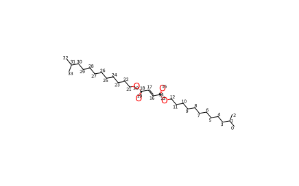 CC(C)CCCCCCCCCCOC(=O)C=CC(=O)OCCCCCCCCCCC(C)C